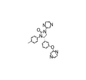 Cc1ccc(N2C(=O)N(c3cnccn3)C[C@@H]2c2cccc(Oc3cnccn3)c2)cc1